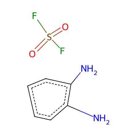 Nc1ccccc1N.O=S(=O)(F)F